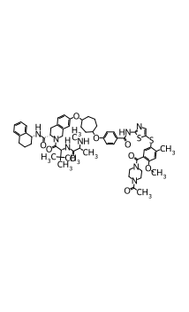 CN[C@@H](C)C(=O)N[C@H](C(=O)N1Cc2cc(OC3CCCC(Oc4ccc(C(=O)Nc5ncc(Sc6cc(C(=O)N7CCN(C(C)=O)CC7)c(OC)cc6C)s5)cc4)CC3)ccc2C[C@H]1C(=O)N[C@@H]1CCCc2ccccc21)C(C)(C)C